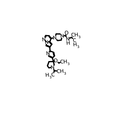 CCO[C@]1(c2ccc(-c3cc4c(N5CCN(C(=O)NC(C)C)CC5)ccnn4c3)nc2)CCCN(C(C)C)C1